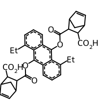 CCc1cccc2c(OC(=O)C3C4C=CC(C4)C3C(=O)O)c3c(CC)cccc3c(OC(=O)C3C4C=CC(C4)C3C(=O)O)c12